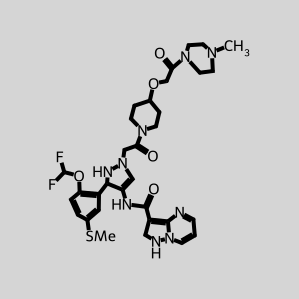 CSc1ccc(OC(F)F)c(C2NN(CC(=O)N3CCC(OCC(=O)N4CCN(C)CC4)CC3)C=C2NC(=O)C2=C3N=CC=CN3NC2)c1